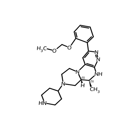 COCOc1ccccc1-c1cc2c(nn1)N[C@@H](C)[C@@H]1CN(C3CCNCC3)CCN21